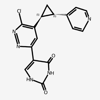 O=c1[nH]cc(-c2cc([C@H]3C[C@@H]3c3ccncc3)c(Cl)nn2)c(=O)[nH]1